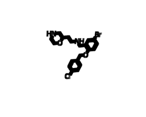 Clc1ccc(COc2ccc(Br)cc2CNCCC2CNCCO2)cc1